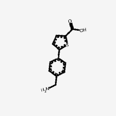 NCc1ccc(-c2ccc(C(=O)O)s2)cc1